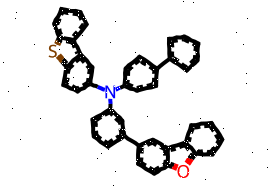 c1ccc(-c2ccc(N(c3cccc(-c4ccc5oc6ccccc6c5c4)c3)c3ccc4sc5ccccc5c4c3)cc2)cc1